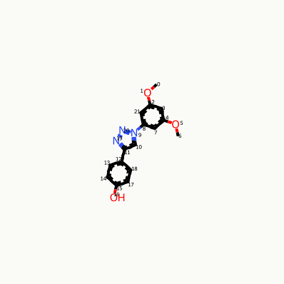 COc1cc(OC)cc(-n2cc(-c3ccc(O)cc3)nn2)c1